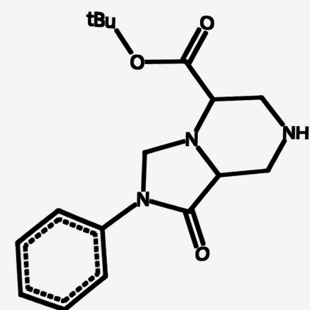 CC(C)(C)OC(=O)C1CNCC2C(=O)N(c3ccccc3)CN12